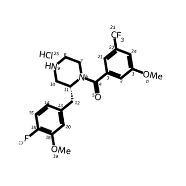 COc1cc(C(=O)N2CCNC[C@H]2Cc2ccc(F)c(OC)c2)cc(C(F)(F)F)c1.Cl